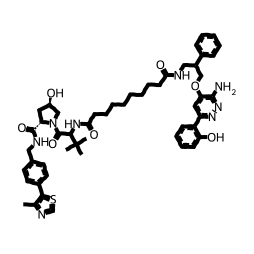 Cc1ncsc1-c1ccc(CNC(=O)[C@@H]2C[C@@H](O)CN2C(=O)C(NC(=O)CCCCCCCCC(=O)NCC(COc2cc(-c3ccccc3O)nnc2N)c2ccccc2)C(C)(C)C)cc1